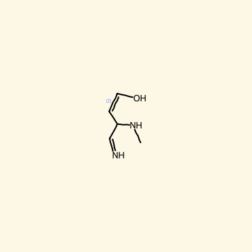 CNC(C=N)/C=C\O